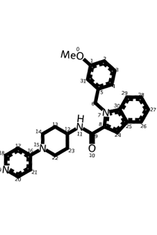 COc1cccc(Cn2c(C(=O)NC3CCN(c4ccncc4)CC3)cc3ccccc32)c1